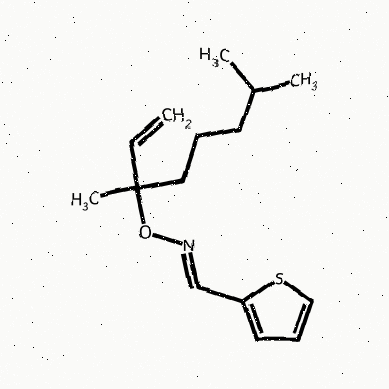 C=CC(C)(CCCC(C)C)ON=Cc1cccs1